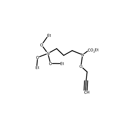 C#CCON(CCC[Si](OCC)(OCC)OCC)C(=O)OCC